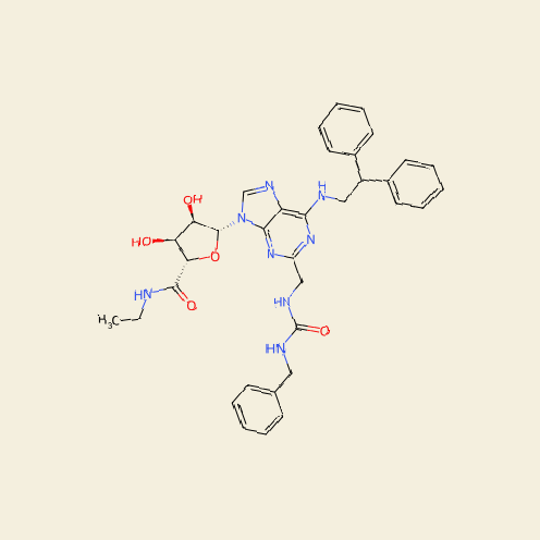 CCNC(=O)[C@H]1O[C@@H](n2cnc3c(NCC(c4ccccc4)c4ccccc4)nc(CNC(=O)NCc4ccccc4)nc32)[C@H](O)[C@@H]1O